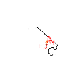 CC/C=C\C/C=C\C/C=C\C/C=C\C/C=C\C/C=C\CCC(=O)O[C@H](COC(=O)CCCCCCCCC/C=C\CCCCCCCC)COP(=O)(O)OC[C@@H](O)CO